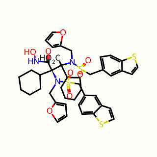 O=C(O)C(C1CCCCC1)(N(Cc1ccco1)S(=O)(=O)Cc1ccc2sccc2c1)[C@@](C(=O)NO)(C1CCCCC1)N(Cc1ccco1)S(=O)(=O)Cc1ccc2sccc2c1